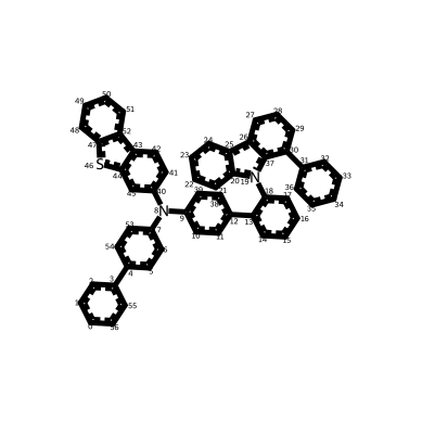 c1ccc(-c2ccc(N(c3ccc(-c4ccccc4-n4c5ccccc5c5cccc(-c6ccccc6)c54)cc3)c3ccc4c(c3)sc3ccccc34)cc2)cc1